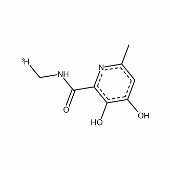 [3H]CNC(=O)c1nc(C)cc(O)c1O